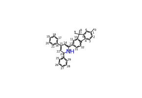 Cc1ccc2c(c1)C(C)(C)c1cc(C3=CC(c4ccccc4)=CC(c4ccccc4)N3)ccc1-2